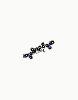 CC1(C)c2cc(-c3ccc(-c4ccc5c(c4)c4ccccc4n5-c4ccc5ccccc5c4)c4ccccc34)ccc2-c2ccc(-c3ccc(-c4ccc5c(c4)c4ccccc4n5-c4ccc5ccccc5c4)c4ccccc34)cc21